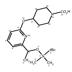 CC(O[Si](C)(C)C(C)(C)C)c1cccc(OC2CCN(C(=O)O)CC2)n1